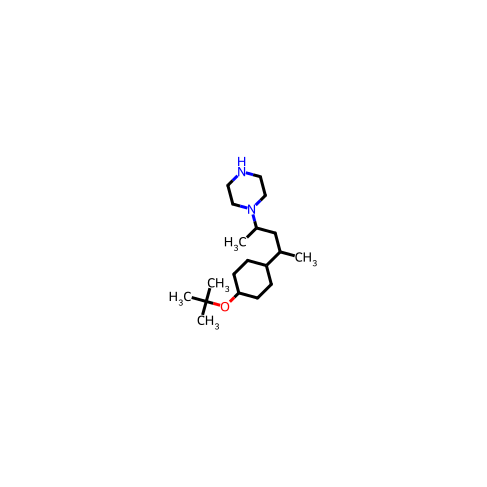 CC(CC(C)N1CCNCC1)C1CCC(OC(C)(C)C)CC1